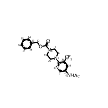 CC(=O)Nc1cnc(N2CCN(C(=O)OCc3ccccc3)CC2)c(C(F)(F)F)c1